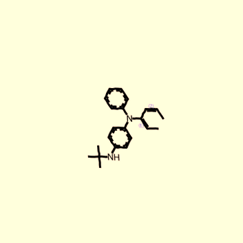 C/C=C\C(=C/C)N(c1ccccc1)c1ccc(NC(C)(C)C)cc1